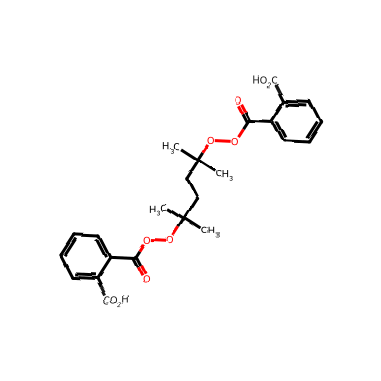 CC(C)(CCC(C)(C)OOC(=O)c1ccccc1C(=O)O)OOC(=O)c1ccccc1C(=O)O